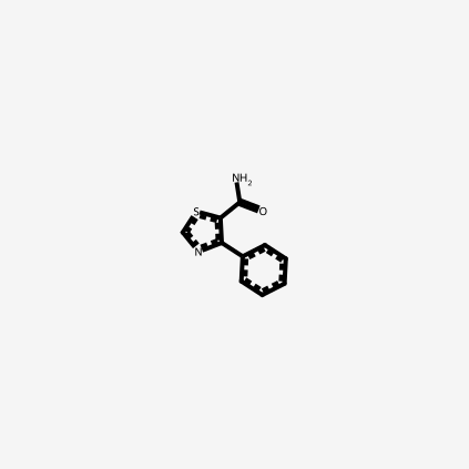 NC(=O)c1scnc1-c1ccccc1